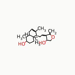 C=C1OC[C@@H](O)/C1=C\C[C@@H]1C(C)=CC[C@@H]2[C@@H](C)[C@H](O)CC[C@@]12C